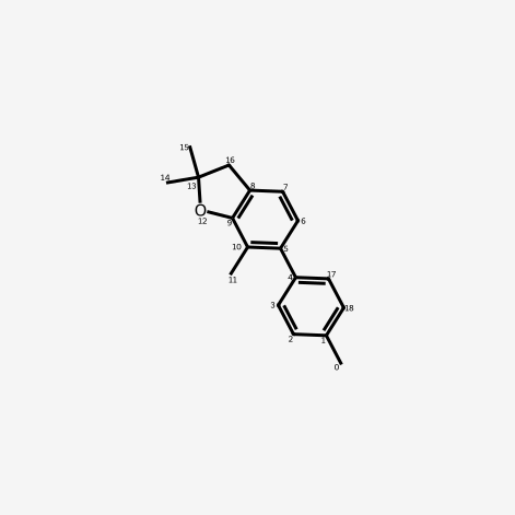 Cc1ccc(-c2ccc3c(c2C)OC(C)(C)C3)cc1